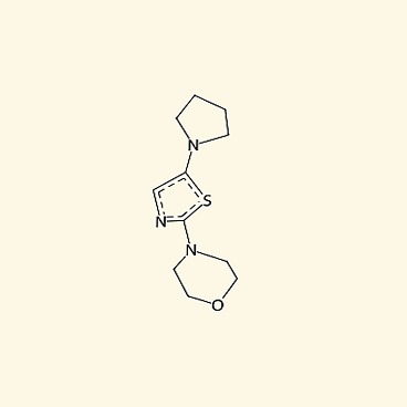 c1nc(N2CCOCC2)sc1N1CCCC1